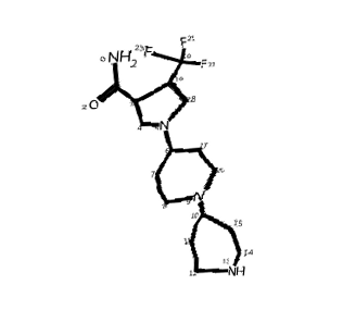 NC(=O)C1CN(C2CCN(C3CCNCC3)CC2)CC1C(F)(F)F